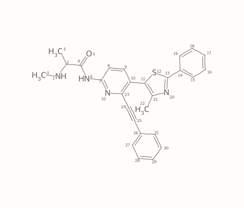 CNC(C)C(=O)Nc1ccc(-c2sc(-c3ccccc3)nc2C)c(C#Cc2ccccc2)n1